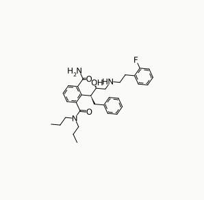 CCCN(CCC)C(=O)c1cccc(C(N)=O)c1[C@H](Cc1ccccc1)[C@@H](O)CNCCc1ccccc1F